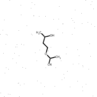 CC(O)CCOC(C)C#N